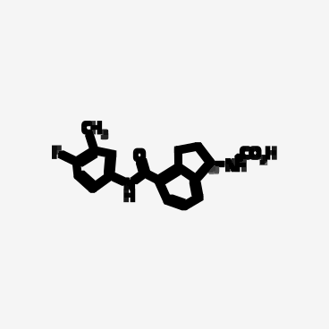 Cc1cc(NC(=O)c2cccc3c2CC[C@@H]3NC(=O)O)ccc1F